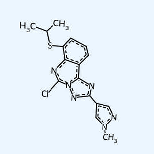 CC(C)Sc1cccc2c1nc(Cl)n1nc(-c3cnn(C)c3)nc21